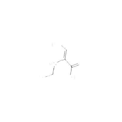 C/C=C(\NCC)C(=O)O